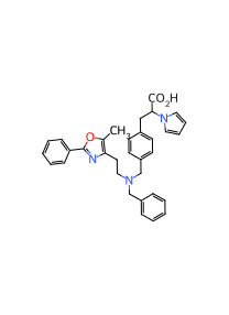 Cc1oc(-c2ccccc2)nc1CCN(Cc1ccccc1)Cc1ccc(CC(C(=O)O)n2cccc2)cc1